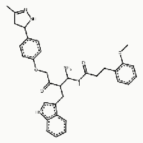 COc1ccccc1CCC(=O)NC(N)C(Cc1c[nH]c2ccccc12)C(=O)COc1ccc(C2CC(C)=NN2)cc1